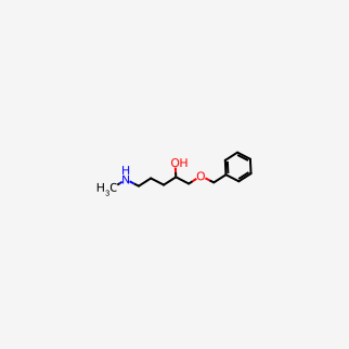 CNCCCC(O)COCc1ccccc1